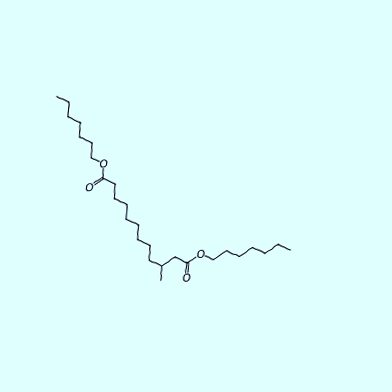 CCCCCCCOC(=O)CCCCCCCCC(C)CC(=O)OCCCCCCC